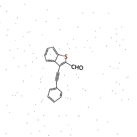 O=Cc1sc2ccccc2c1C#Cc1ccccc1